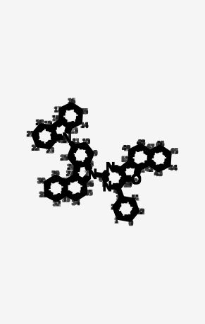 c1ccc(-c2nc(-n3c4ccc(-n5c6ccccc6c6ccccc65)cc4c4c5ccccc5ccc43)nc3c2oc2c4ccccc4ccc32)cc1